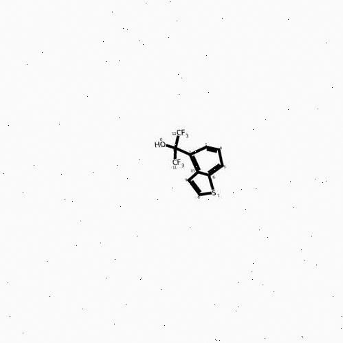 OC(c1cccc2sccc12)(C(F)(F)F)C(F)(F)F